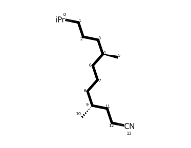 CC(C)CCC[C@@H](C)CCC[C@@H](C)CCC#N